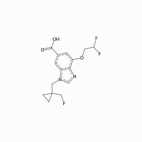 O=C(O)c1cc(OCC(F)F)c2ncn(CC3(CF)CC3)c2c1